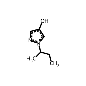 CCC(C)n1cc(O)cn1